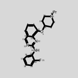 CC(C)N1CCC(Oc2cccc3cnc(Nc4ccccc4F)nc23)CC1